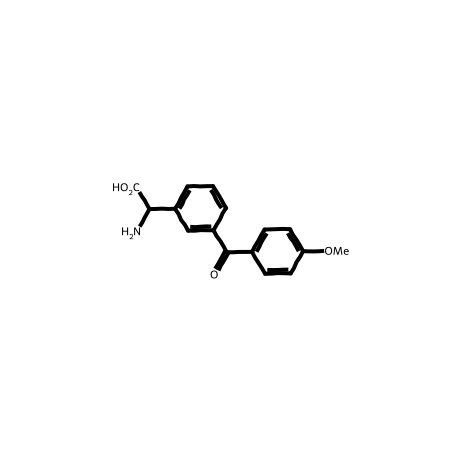 COc1ccc(C(=O)c2cccc(C(N)C(=O)O)c2)cc1